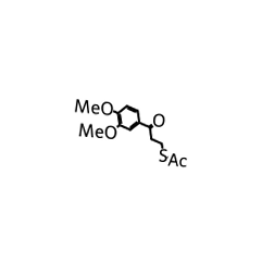 COc1ccc(C(=O)CCSC(C)=O)cc1OC